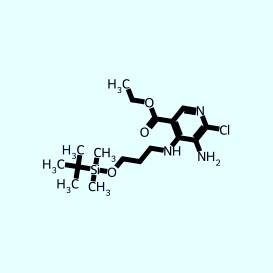 CCOC(=O)c1cnc(Cl)c(N)c1NCCCO[Si](C)(C)C(C)(C)C